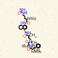 CNC(CCCNC(N)=O)C(=O)Nc1ccc(SNC(=O)/C(C)=C/CN(C)C(=O)C(NC(=O)C(NC)C(C)(C)c2ccccc2)C(C)(C)C)c2c1CCCC2